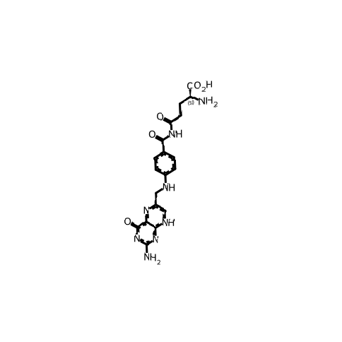 Nc1nc2[nH]cc(CNc3ccc(C(=O)NC(=O)CC[C@H](N)C(=O)O)cc3)nc-2c(=O)n1